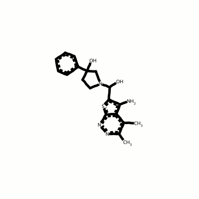 Cc1nnc2sc(C(O)N3CCC(O)(c4ccccc4)C3)c(N)c2c1C